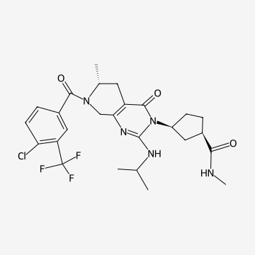 CNC(=O)[C@@H]1CC[C@H](n2c(NC(C)C)nc3c(c2=O)C[C@@H](C)N(C(=O)c2ccc(Cl)c(C(F)(F)F)c2)C3)C1